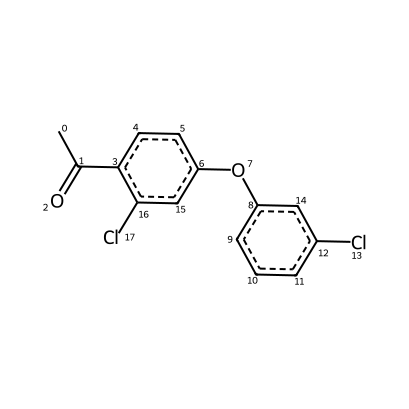 CC(=O)c1ccc(Oc2cccc(Cl)c2)cc1Cl